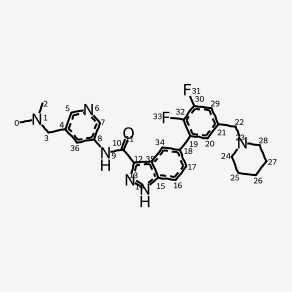 CN(C)Cc1cncc(NC(=O)c2n[nH]c3ccc(-c4cc(CN5CCCCC5)cc(F)c4F)cc23)c1